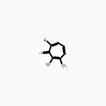 Cc1cccc(Br)c(=O)c1O